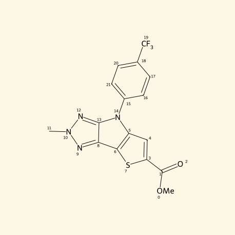 COC(=O)c1cc2c(s1)c1nn(C)nc1n2-c1ccc(C(F)(F)F)cc1